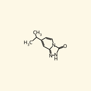 CC(C)c1ccn2c(=O)[nH]nc2c1